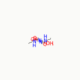 CCCC(O)NC(=O)C(C)(C)N=NC(C)(C)C(=O)NC(O)CCC